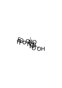 CCCn1c(Oc2cccc(OC(F)(F)F)c2)nc2c1c(=O)n(CCCO)c(=O)n2C